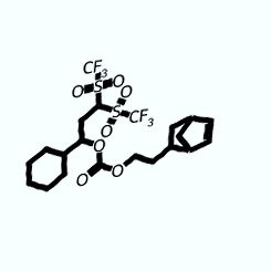 O=C(OCCC1CC2C=CC1C2)OC(CC(S(=O)(=O)C(F)(F)F)S(=O)(=O)C(F)(F)F)C1CCCCC1